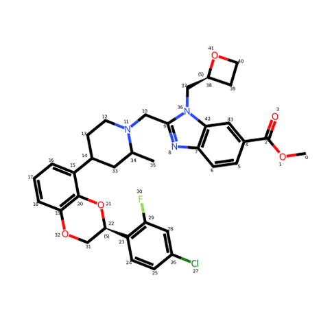 COC(=O)c1ccc2nc(CN3CCC(c4cccc5c4O[C@@H](c4ccc(Cl)cc4F)CO5)CC3C)n(C[C@@H]3CCO3)c2c1